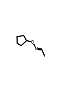 CC=NOC1CCCC1